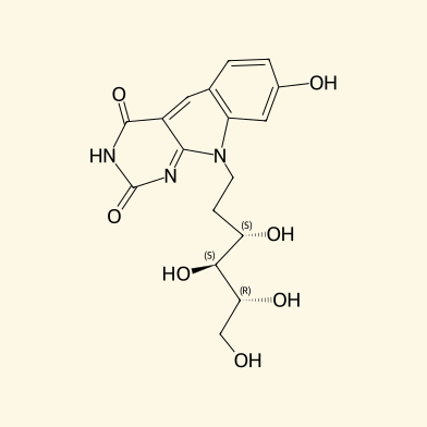 O=c1nc2n(CC[C@H](O)[C@H](O)[C@H](O)CO)c3cc(O)ccc3cc-2c(=O)[nH]1